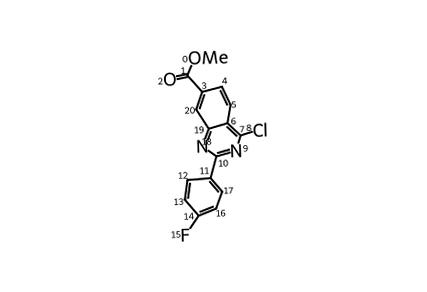 COC(=O)c1ccc2c(Cl)nc(-c3ccc(F)cc3)nc2c1